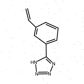 C=Cc1cccc(-c2nnn[nH]2)c1